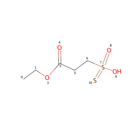 CCOC(=O)CCS(=O)(O)=S